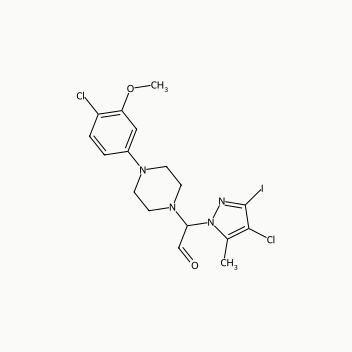 COc1cc(N2CCN(C(C=O)n3nc(I)c(Cl)c3C)CC2)ccc1Cl